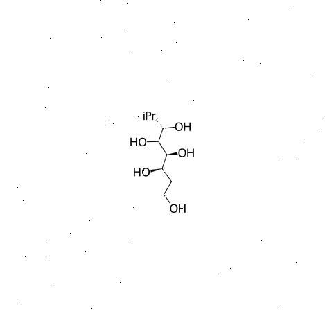 CC(C)[C@H](O)C(O)[C@@H](O)[C@H](O)CCO